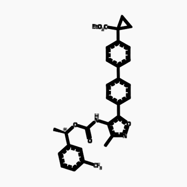 CCOC(=O)C1(c2ccc(-c3ccc(-c4onc(C)c4NC(=O)O[C@H](C)c4cccc(C(F)(F)F)c4)cc3)cc2)CC1